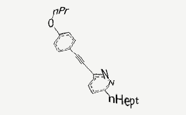 CCCCCCCc1ccc(C#Cc2ccc(OCCC)cc2)nn1